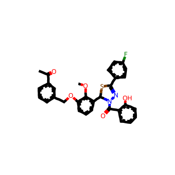 COc1c(OCc2cccc(C(C)=O)c2)cccc1C1SC(c2ccc(F)cc2)=NN1C(=O)c1ccccc1O